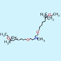 CCO[Si](C)(C)CCCCCCOCCN(C)CCOCCCCCC[Si](C)(C)OCC